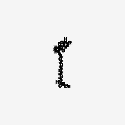 CC(C)(C)OC(=O)NCCOCCOCCOCCOCC#Cc1cccc2c1C(=O)N(C1CCC(=O)NC1=O)C2=O